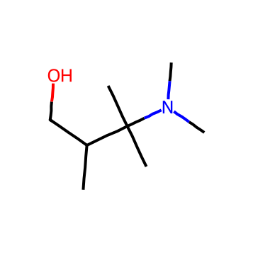 CC(CO)C(C)(C)N(C)C